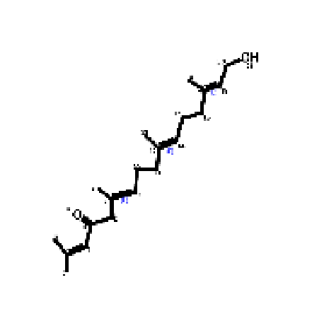 CC(C)=CC(=O)C/C(C)=C/CC/C(C)=C/CC/C(C)=C/CO